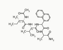 CC[C@H](C)[C@H](NC(C)=O)C(=O)N[C@H](C(=O)NC(C(=O)NC(C)C(N)=O)c1cccc2ccccc12)C(C)C